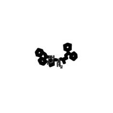 CC(=CCC(c1ccccc1)c1ccccc1)C[SiH2]Cn1ccnc1BC(=Cc1ccccc1)c1ccccc1